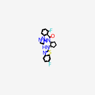 O=C(N[C@@H]1CCC[C@@H]1Nc1nc2ccc(F)cc2s1)c1c(F)cccc1-n1nccn1